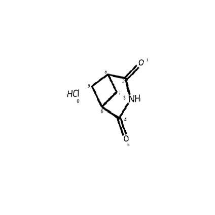 Cl.O=C1NC(=O)C2CC1C2